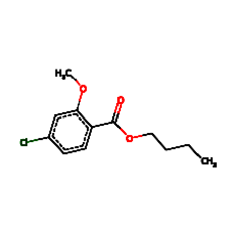 CCCCOC(=O)c1ccc(Cl)cc1OC